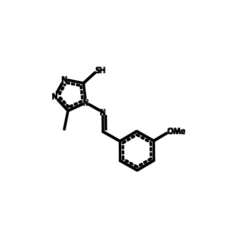 COc1cccc(C=Nn2c(C)nnc2S)c1